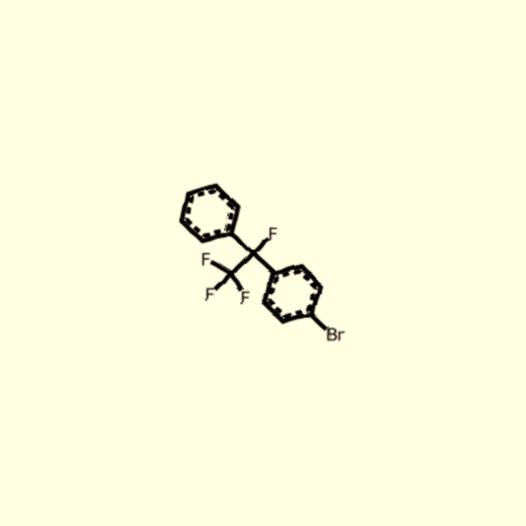 FC(F)(F)C(F)(c1ccccc1)c1ccc(Br)cc1